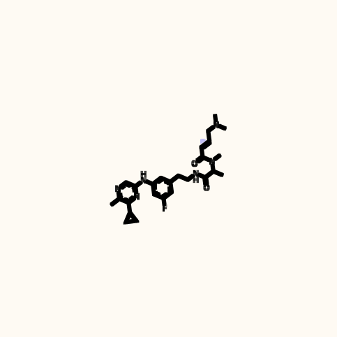 Cc1ncc(Nc2cc(F)cc(CCNC(=O)C(C)N(C)C(=O)/C=C/CN(C)C)c2)nc1C1CC1